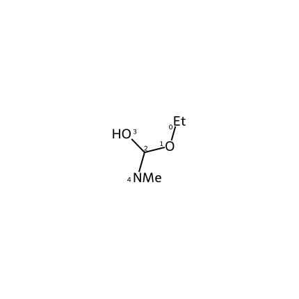 CCOC(O)NC